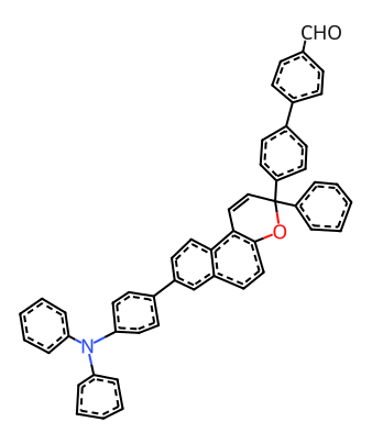 O=Cc1ccc(-c2ccc(C3(c4ccccc4)C=Cc4c(ccc5cc(-c6ccc(N(c7ccccc7)c7ccccc7)cc6)ccc45)O3)cc2)cc1